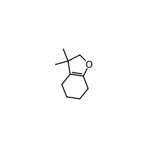 CC1(C)COC2=C1CCCC2